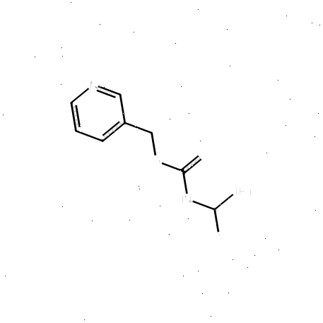 CC(=O)C(NC(=O)OCc1cccnc1)C(C)(C)C